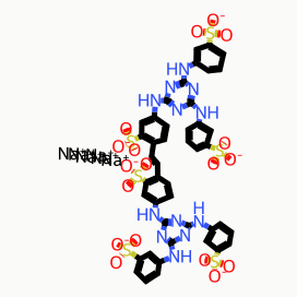 O=S(=O)([O-])c1cccc(Nc2nc(Nc3cccc(S(=O)(=O)[O-])c3)nc(Nc3ccc(C=Cc4ccc(Nc5nc(Nc6cccc(S(=O)(=O)[O-])c6)nc(Nc6cccc(S(=O)(=O)[O-])c6)n5)cc4S(=O)(=O)[O-])c(S(=O)(=O)[O-])c3)n2)c1.[Na+].[Na+].[Na+].[Na+].[Na+].[Na+]